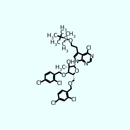 CC(C)(C)[Si](C)(C)OCCc1cn([C@@H]2O[C@H](COCc3ccc(Cl)cc3Cl)[C@@H](OCc3ccc(Cl)cc3Cl)[C@@]2(C)O)c2ncnc(Cl)c12